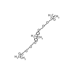 C=C(C)C(=O)OCCCOCCCOCCCOc1ccc(C(C)(C)c2ccc(OCCCOCCCOCCCOC(=O)C(=C)C)cc2)cc1